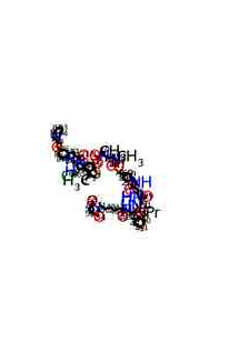 Cc1csc2c(OC(=O)N(C)CCN(C)C(=O)OCc3ccc(NC(=O)CNC(=O)[C@H](CC(C)C)NC(=O)[C@H](Cc4ccccc4)NC(=O)CCCCCN4C(=O)C=CC4=O)cc3)cc3c(c12)[C@H](CCl)CN3C(=O)c1cc2cc(OCCN3CCCC3)ccc2[nH]1